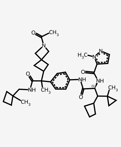 CC(=O)N1CC2(CC(C(C)(C(=O)NCC3(C)CCC3)c3ccc(NC(=O)[C@@H](NC(=O)c4ccnn4C)C(C4CCC4)C4(C)CC4)cc3)C2)C1